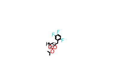 CC(C)OC(O[SiH2]Cc1cc(F)c(F)cc1F)OC(C)C